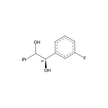 CC(C)C(O)[C@H](O)c1cccc(F)c1